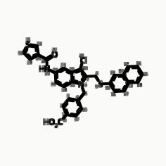 O=C(O)c1ccc(Cn2c(CSc3ccc4ccccc4c3)c(Cl)c3cc(NC(=O)c4ccsc4)ccc32)cc1